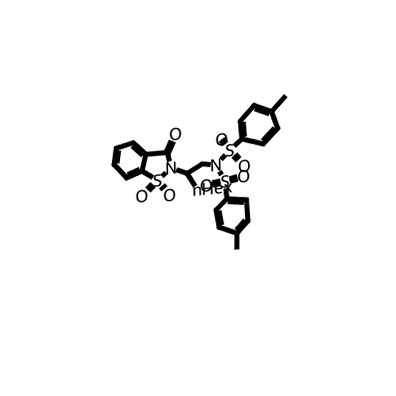 CCCCCCC(CN(S(=O)(=O)c1ccc(C)cc1)S(=O)(=O)c1ccc(C)cc1)N1C(=O)c2ccccc2S1(=O)=O